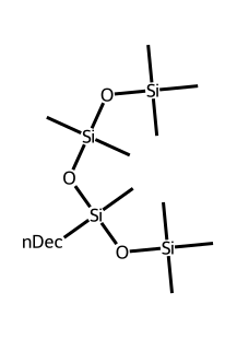 CCCCCCCCCC[Si](C)(O[Si](C)(C)C)O[Si](C)(C)O[Si](C)(C)C